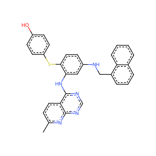 Cc1ccc2c(Nc3cc(NCc4cccc5ccccc45)ccc3Sc3ccc(O)cc3)ncnc2n1